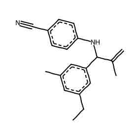 C=C(C)C(Nc1ccc(C#N)cc1)c1cc(C)cc(CC)c1